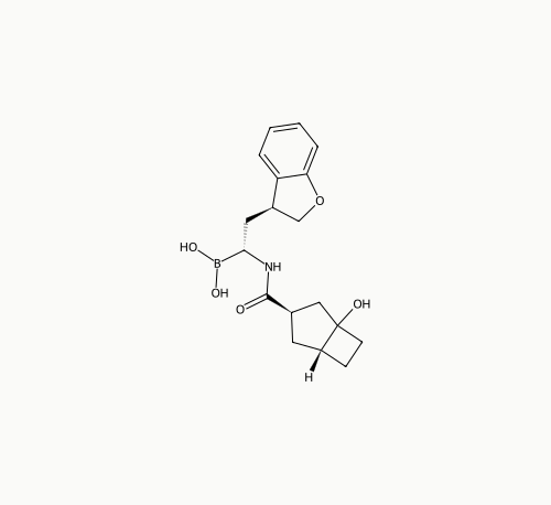 O=C(N[C@@H](C[C@@H]1COc2ccccc21)B(O)O)[C@@H]1C[C@H]2CCC2(O)C1